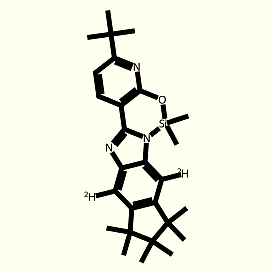 [2H]c1c2c(c([2H])c3c1nc1n3[Si](C)(C)Oc3nc(C(C)(C)C)ccc3-1)C(C)(C)C(C)(C)C2(C)C